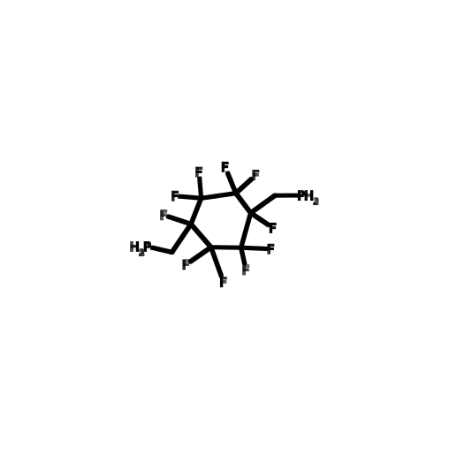 FC1(F)C(F)(F)C(F)(CP)C(F)(F)C(F)(F)C1(F)CP